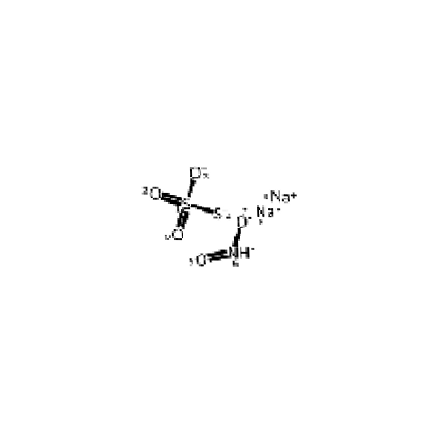 O=S(=O)([O-])[S-].O=[NH+][O-].[Na+].[Na+]